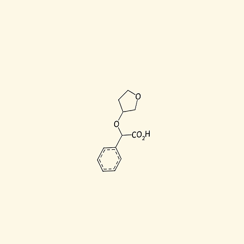 O=C(O)C(OC1CCOC1)c1ccccc1